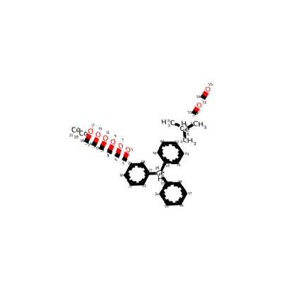 [CH3][GeH]([CH3])[CH3].[C]=O.[C]=O.[C]=O.[C]=O.[C]=O.[C]=O.[C]=O.[C]=O.[Co].[Co].c1cc[c]([GeH]([c]2ccccc2)[c]2ccccc2)cc1